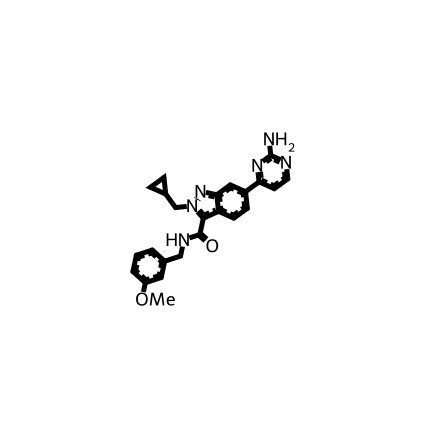 COc1cccc(CNC(=O)c2c3ccc(-c4ccnc(N)n4)cc3nn2CC2CC2)c1